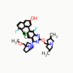 C#Cc1c(F)ccc2cc(O)cc(-c3c(Cl)cc4c(N5CC6CCC(COC)(C5)N6)nc(OCC56CC(=C)CN5CC(=C)C6)nc4c3F)c12